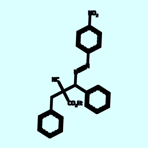 CCOC(=O)C(C#N)(Cc1ccccc1)C(N=Nc1ccc([N+](=O)[O-])cc1)c1ccccc1